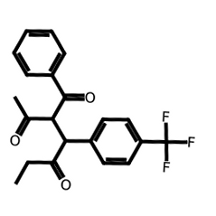 CCC(=O)C(c1ccc(C(F)(F)F)cc1)C(C(C)=O)C(=O)c1ccccc1